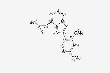 COc1ncc(-c2cn3nccc([C@H]4C[C@@H]4C(C)C)c3n2)c(OC)n1